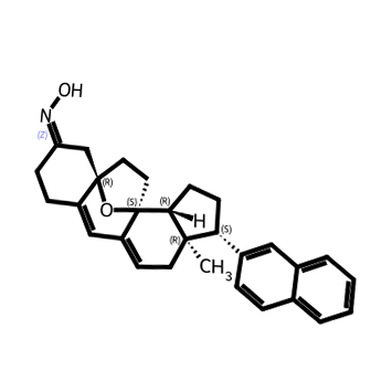 C[C@]12CC=C3C=C4CC/C(=N/O)C[C@]45CC[C@]3(O5)[C@@H]1CC[C@@H]2c1ccc2ccccc2c1